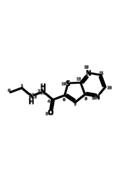 CCNNC(=O)c1cc2nccnc2s1